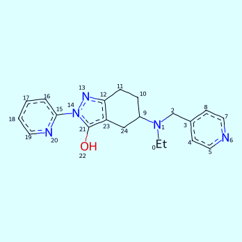 CCN(Cc1ccncc1)C1CCc2nn(-c3ccccn3)c(O)c2C1